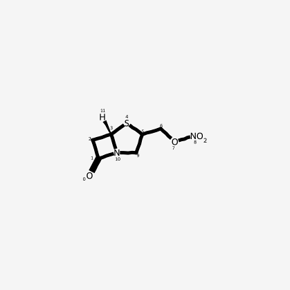 O=C1C[C@@H]2SC(CO[N+](=O)[O-])CN12